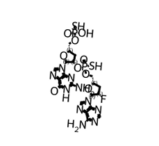 Nc1nc2c(ncn2[C@@H]2O[C@H](COP(=O)(O)S)C[C@@H]2OP(=O)(S)OC[C@@H]2C[C@H](F)[C@H](n3cnc4c(N)ncnc43)O2)c(=O)[nH]1